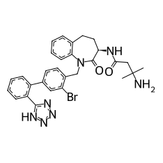 CC(C)(N)CC(=O)N[C@@H]1CCc2ccccc2N(Cc2ccc(-c3ccccc3-c3nnn[nH]3)cc2Br)C1=O